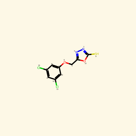 Sc1nnc(COc2cc(Cl)cc(Cl)c2)o1